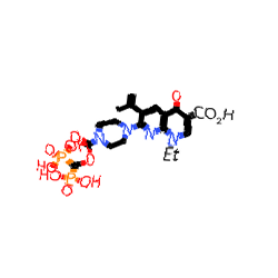 C=C(C)c1cc2c(=O)c(C(=O)O)cn(CC)c2nc1N1CCN(C(=O)OC(P(=O)(O)O)P(=O)(O)O)CC1